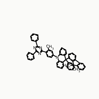 Cc1cc(N2c3ccccc3C(c3ccccc3)(c3cccc4c3C(C)(C)c3ccccc3-4)c3ccccc32)ccc1-c1nc(-c2ccccc2)nc(-c2ccccc2)n1